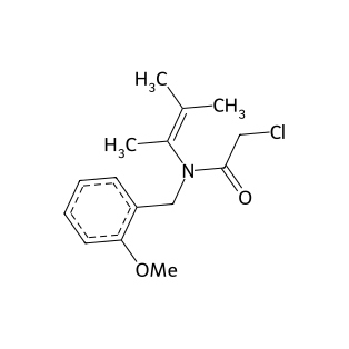 COc1ccccc1CN(C(=O)CCl)C(C)=C(C)C